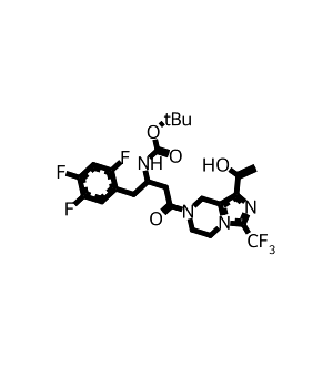 C=C(O)c1nc(C(F)(F)F)n2c1CN(C(=O)CC(Cc1cc(F)c(F)cc1F)NC(=O)OC(C)(C)C)CC2